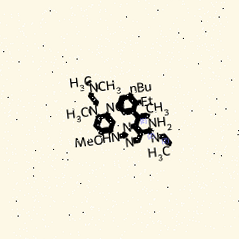 C/C=C\N=C(/N)c1cnc(Nc2cc([N+](=O)[O-])c(N(C)CCN(C)C)cc2OC)nc1/C(=C/C)c1cccc(CCCC)c1CC